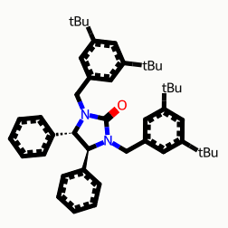 CC(C)(C)c1cc(CN2C(=O)N(Cc3cc(C(C)(C)C)cc(C(C)(C)C)c3)[C@@H](c3ccccc3)[C@@H]2c2ccccc2)cc(C(C)(C)C)c1